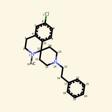 CC(=O)N1CCc2cc(Cl)ccc2C12CCN(CCc1ccccc1)CC2